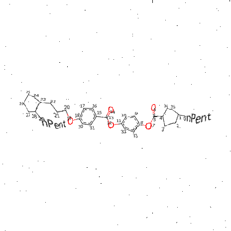 CCCCCC1CCC(C(=O)Oc2ccc(OC(=O)c3ccc(OCCCC4CCCCC4CCCCC)cc3)cc2)CC1